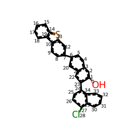 Oc1cc2ccc(-c3ccc4c(c3)sc3ccccc34)cc2cc1-c1ccc(Cl)c2ccccc12